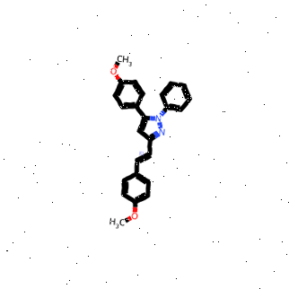 COc1ccc(/C=C/c2cc(-c3ccc(OC)cc3)n(-c3ccccc3)n2)cc1